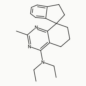 CCN(CC)c1nc(C)nc2c1CCCC21CCc2ccccc21